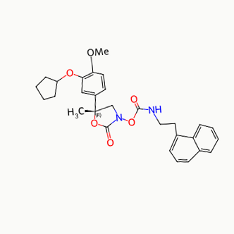 COc1ccc([C@]2(C)CN(OC(=O)NCCc3cccc4ccccc34)C(=O)O2)cc1OC1CCCC1